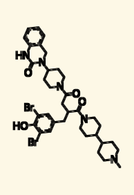 CN1CCC(C2CCN(C(=O)C(CC(=O)N3CCC(N4Cc5ccccc5NC4=O)CC3)Cc3cc(Br)c(O)c(Br)c3)CC2)CC1